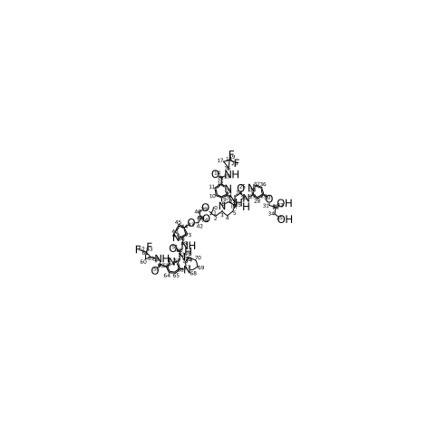 CC1(CC2CC[C@H]3CN2c2ccc(C(=O)NC4CC4(F)F)nc2N3C(=O)Nc2cc(OC[C@H](O)CO)ccn2)OC[C@H](COc2ccnc(NC(=O)N3c4nc(C(=O)NC5CC5(F)F)ccc4N4CCC[C@H]3C4)c2)O1